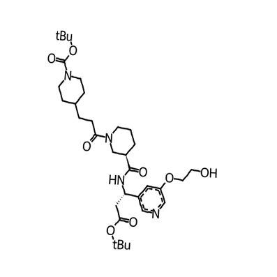 CC(C)(C)OC(=O)C[C@H](NC(=O)[C@@H]1CCCN(C(=O)CCC2CCN(C(=O)OC(C)(C)C)CC2)C1)c1cncc(OCCO)c1